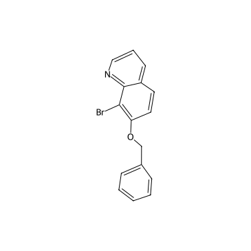 Brc1c(OCc2ccccc2)ccc2cccnc12